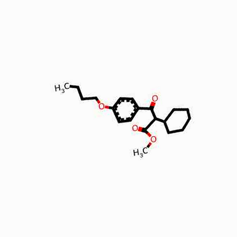 CCCCOc1ccc(C(=O)C(C(=O)OC)C2CCCCC2)cc1